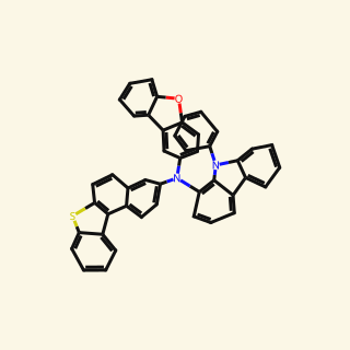 c1ccc(-n2c3ccccc3c3cccc(N(c4ccc5c(ccc6sc7ccccc7c65)c4)c4ccc5oc6ccccc6c5c4)c32)cc1